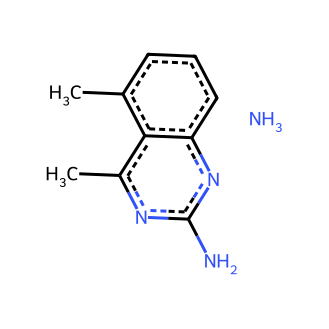 Cc1cccc2nc(N)nc(C)c12.N